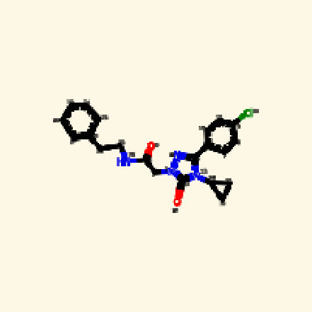 O=C(Cn1nc(-c2ccc(Cl)cc2)n(C2CC2)c1=O)NCCc1ccccc1